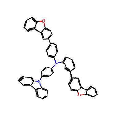 c1cc(-c2ccc3oc4ccccc4c3c2)cc(N(c2ccc(-c3ccc4oc5ccccc5c4c3)cc2)c2ccc(-n3c4ccccc4c4ccccc43)cc2)c1